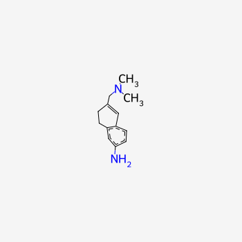 CN(C)CC1=Cc2ccc(N)cc2CC1